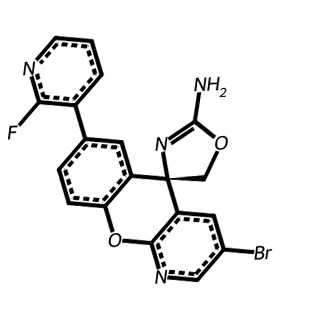 NC1=N[C@@]2(CO1)c1cc(-c3cccnc3F)ccc1Oc1ncc(Br)cc12